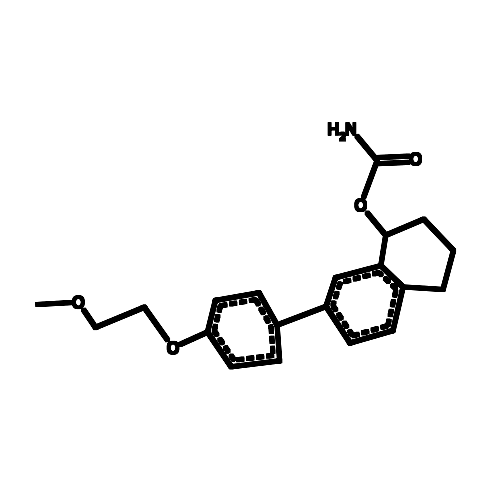 COCCOc1ccc(-c2ccc3c(c2)C(OC(N)=O)CCC3)cc1